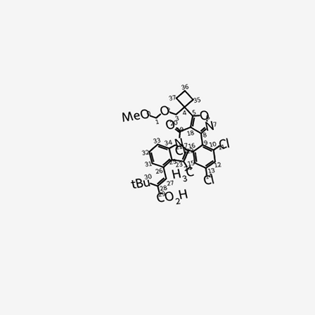 COCOCC1(c2onc(-c3c(Cl)cc(Cl)cc3Cl)c2C(=O)n2cc(C)c3c(/C=C(/C(=O)O)C(C)(C)C)cccc32)CCC1